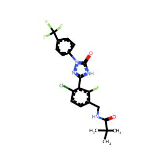 CC(C)(C)C(=O)NCc1ccc(Cl)c(-c2nn(-c3ccc(C(F)(F)F)cc3)c(=O)[nH]2)c1F